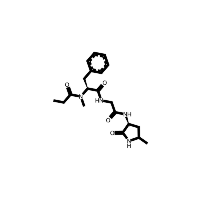 CCC(=O)N(C)[C@@H](Cc1ccccc1)C(=O)NCC(=O)N[C@H]1CC(C)NC1=O